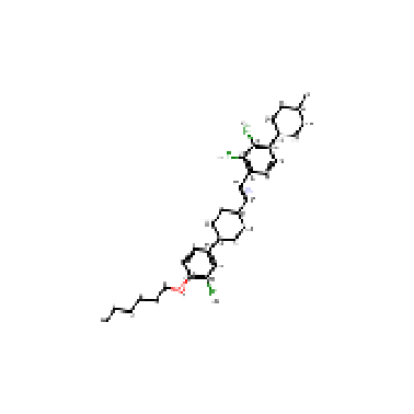 CCCCCCOc1ccc(C2CCC(/C=C/c3ccc(C4CCC(C)CC4)c(F)c3F)CC2)cc1F